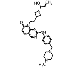 C=CC(O)N1CC(CCn2c(=O)ccc3cnc(Nc4ccc(CN5CCN(C)CC5)cc4)nc32)C1